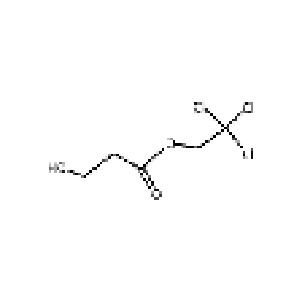 O=C(CCO)OCC(Cl)(Cl)Cl